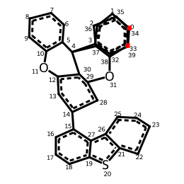 c1ccc(C23c4ccccc4Oc4cc(-c5cccc6sc7ccccc7c56)cc(c42)Oc2ccccc23)cc1